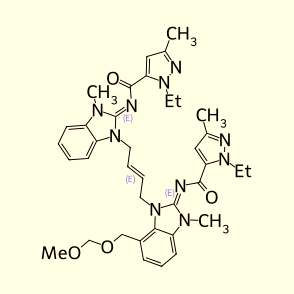 CCn1nc(C)cc1C(=O)/N=c1\n(C)c2ccccc2n1C/C=C/Cn1/c(=N/C(=O)c2cc(C)nn2CC)n(C)c2cccc(COCOC)c21